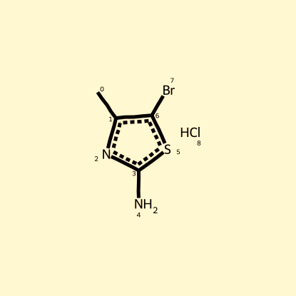 Cc1nc(N)sc1Br.Cl